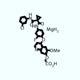 COc1cc2c(Oc3ccc(NC(=O)C4(C(=O)Nc5cccc(Cl)c5)CC4)cc3F)ccnc2cc1OCC(=O)O.[MgH2]